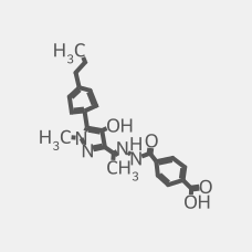 CCCc1ccc(-c2c(O)c(C(C)=NNC(=O)c3ccc(C(=O)O)cc3)nn2C)cc1